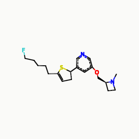 CN1CC[C@H]1COc1cncc(C2CC=C(CCCCCF)S2)c1